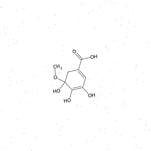 COC1(O)CC(C(=O)O)=CC(O)=C1O